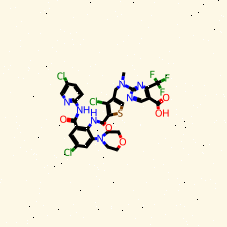 CN(Cc1csc(C(=O)Nc2c(C(=O)Nc3ccc(Cl)cn3)cc(Cl)cc2N2CCOCC2)c1Cl)c1ncc(C(=O)O)c(C(F)(F)F)n1